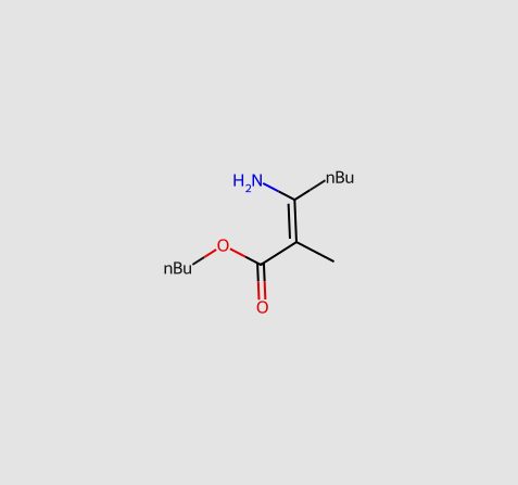 CCCCOC(=O)C(C)=C(N)CCCC